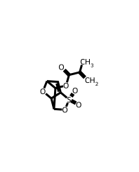 C=C(C)C(=O)OC1C2C=C3C(O2)C1OS3(=O)=O